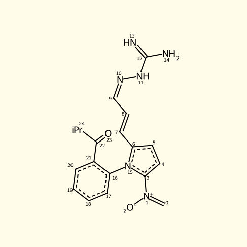 C=[N+]([O-])c1ccc(/C=C/C=N\NC(=N)N)n1-c1ccccc1C(=O)C(C)C